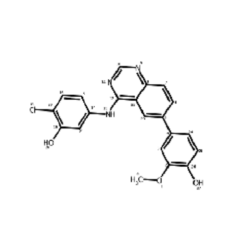 COc1cc(-c2ccc3ncnc(Nc4ccc(Cl)c(O)c4)c3c2)ccc1O